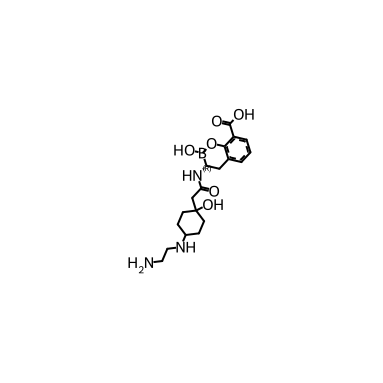 NCCNC1CCC(O)(CC(=O)N[C@H]2Cc3cccc(C(=O)O)c3OB2O)CC1